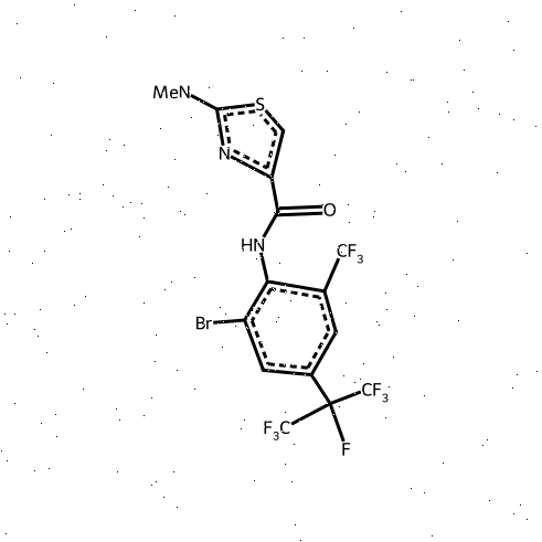 CNc1nc(C(=O)Nc2c(Br)cc(C(F)(C(F)(F)F)C(F)(F)F)cc2C(F)(F)F)cs1